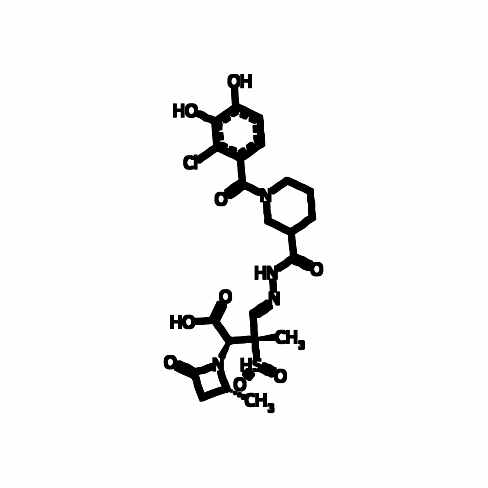 C[C@@H]1CC(=O)N1[C@@H](C(=O)O)[C@](C)(/C=N/NC(=O)C1CCCN(C(=O)c2ccc(O)c(O)c2Cl)C1)[SH](=O)=O